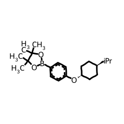 CC(C)[C@H]1CC[C@H](Oc2ccc(B3OC(C)(C)C(C)(C)O3)cc2)CC1